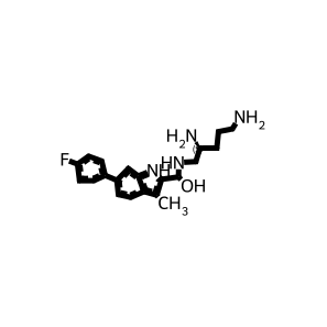 Cc1c(C(O)NC[C@@H](N)CCCN)[nH]c2cc(-c3ccc(F)cc3)ccc12